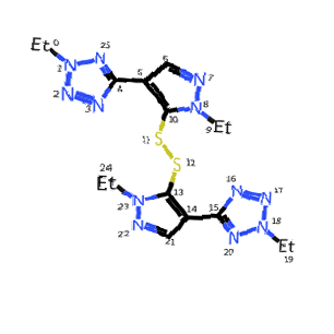 CCn1nnc(-c2cnn(CC)c2SSc2c(-c3nnn(CC)n3)cnn2CC)n1